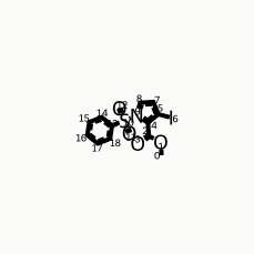 COC(=O)c1c(I)ccn1S(=O)(=O)c1ccccc1